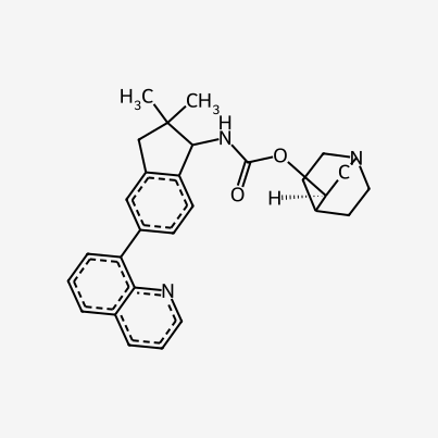 CC1(C)Cc2cc(-c3cccc4cccnc34)ccc2C1NC(=O)O[C@H]1CN2CCC1CC2